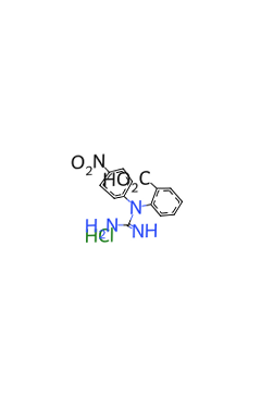 Cl.N=C(N)N(c1ccc([N+](=O)[O-])cc1)c1ccccc1C(=O)O